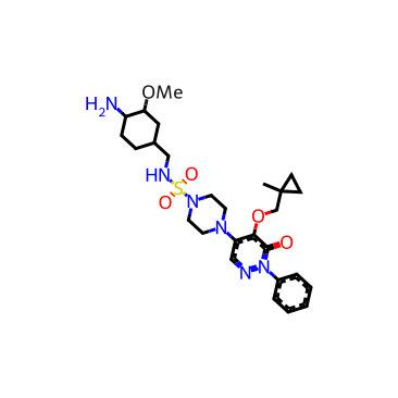 COC1CC(CNS(=O)(=O)N2CCN(c3cnn(-c4ccccc4)c(=O)c3OCC3(C)CC3)CC2)CCC1N